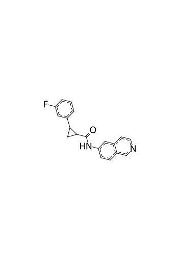 O=C(Nc1ccc2cnccc2c1)C1CC1c1cccc(F)c1